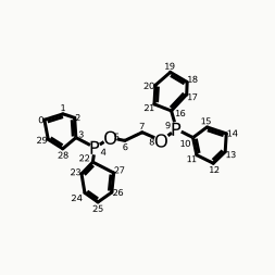 c1ccc(P(OCCOP(c2ccccc2)c2ccccc2)c2ccccc2)cc1